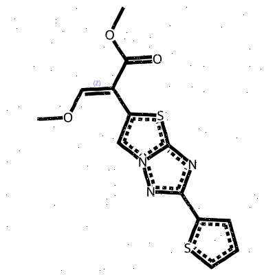 CO/C=C(/C(=O)OC)c1cn2nc(-c3cccs3)nc2s1